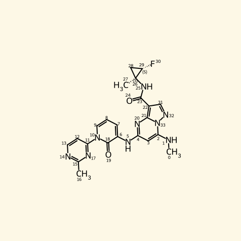 CNc1cc(Nc2cccn(-c3ccnc(C)n3)c2=O)nc2c(C(=O)N[C@@]3(C)C[C@@H]3F)cnn12